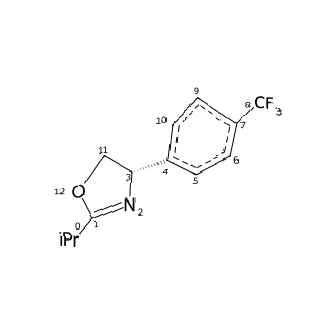 CC(C)C1=N[C@@H](c2ccc(C(F)(F)F)cc2)CO1